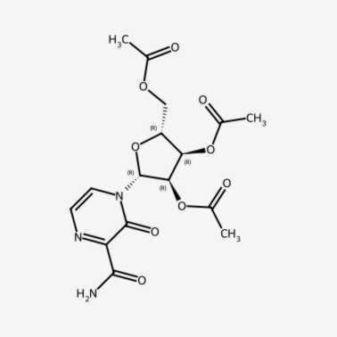 CC(=O)OC[C@H]1O[C@@H](n2ccnc(C(N)=O)c2=O)[C@H](OC(C)=O)[C@@H]1OC(C)=O